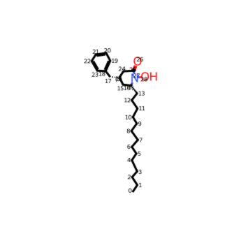 CCCCCCCCCCCCCC[C@H]1C[C@H](Cc2ccccc2)CC(=O)N1O